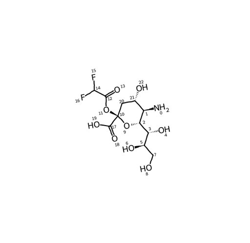 N[C@H]1[C@H]([C@H](O)[C@H](O)CO)O[C@](OC(=O)C(F)F)(C(=O)O)C[C@@H]1O